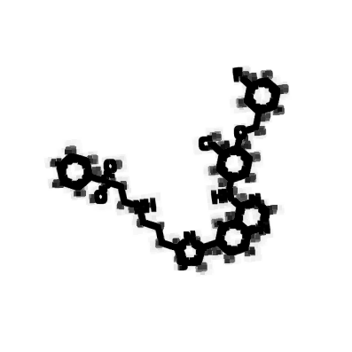 O=S(=O)(CCNCCCc1nc(-c2ccc3ncnc(Nc4ccc(OCc5cccc(F)c5)c(Cl)c4)c3c2)cs1)c1ccccc1